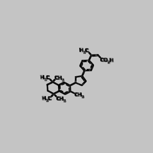 C/C(=C/C(=O)O)c1ccc(C2=CCC(c3cc4c(cc3C)C(C)(C)CCC4(C)C)C2)cc1